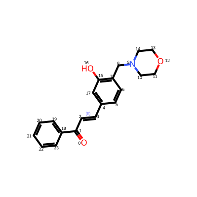 O=C(/C=C/c1ccc(CN2CCOCC2)c(O)c1)c1ccccc1